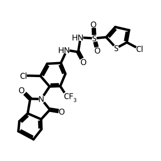 O=C(Nc1cc(Cl)c(N2C(=O)c3ccccc3C2=O)c(C(F)(F)F)c1)NS(=O)(=O)c1ccc(Cl)s1